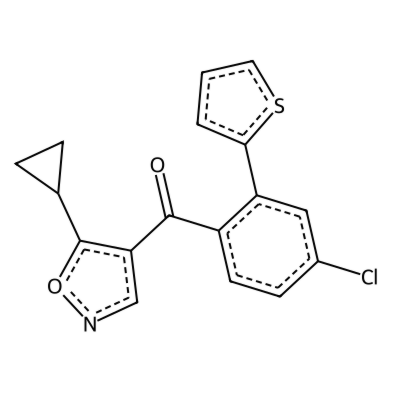 O=C(c1ccc(Cl)cc1-c1cccs1)c1cnoc1C1CC1